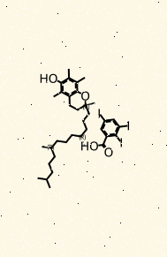 Cc1c(C)c2c(c(C)c1O)CC[C@@](C)(CCC[C@H](C)CCC[C@H](C)CCCC(C)C)O2.O=C(O)c1cc(I)cc(I)c1I